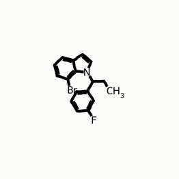 CCC(c1cccc(F)c1)n1ccc2cccc(Br)c21